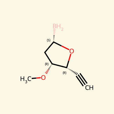 B[C@H]1C[C@@H](OC)[C@@H](C#C)O1